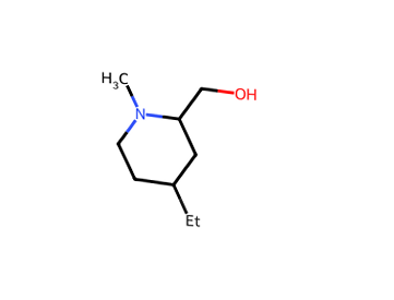 CCC1CCN(C)C(CO)C1